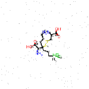 CCCCC(CCCC)(SSCC(N)C(=O)O)C(N)C(=O)O.Cl.Cl